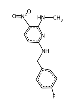 CNc1nc(NCc2ccc(F)cc2)ccc1[N+](=O)[O-]